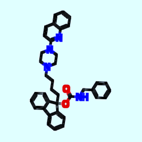 O=C(NCc1ccccc1)OC1(CCCCN2CCN(c3ccc4ccccc4n3)CC2)c2ccccc2-c2ccccc21